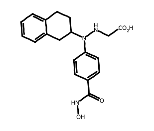 O=C(O)CNN(c1ccc(C(=O)NO)cc1)C1CCc2ccccc2C1